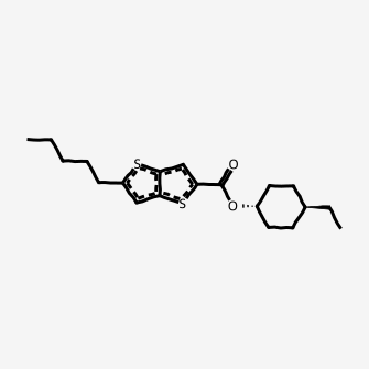 CCCCCc1cc2sc(C(=O)O[C@H]3CC[C@H](CC)CC3)cc2s1